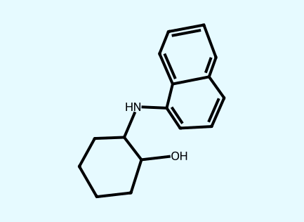 OC1CCCCC1Nc1cccc2ccccc12